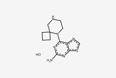 Cl.Nc1nc(N2CCNCC23CCC3)c2ncsc2n1